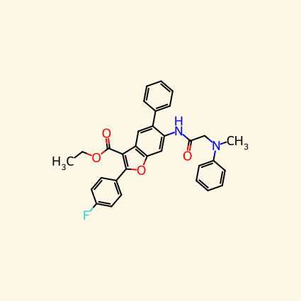 CCOC(=O)c1c(-c2ccc(F)cc2)oc2cc(NC(=O)CN(C)c3ccccc3)c(-c3ccccc3)cc12